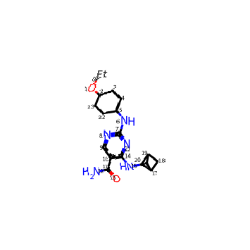 CCOC1CCC(Nc2ncc(C(N)=O)c(NC3C4CC3C4)n2)CC1